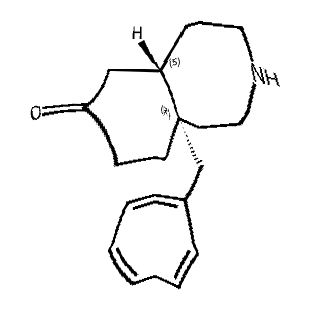 O=C1CC[C@]2(Cc3ccccc3)CNCC[C@H]2C1